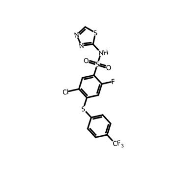 O=S(=O)(Nc1nncs1)c1cc(Cl)c(Sc2ccc(C(F)(F)F)cc2)cc1F